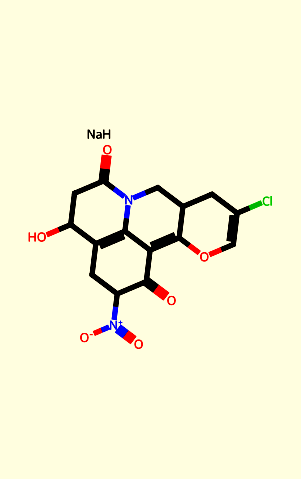 O=C1C2=C3OC=C(Cl)CC3CN3C(=O)CC(O)C(=C23)CC1[N+](=O)[O-].[NaH]